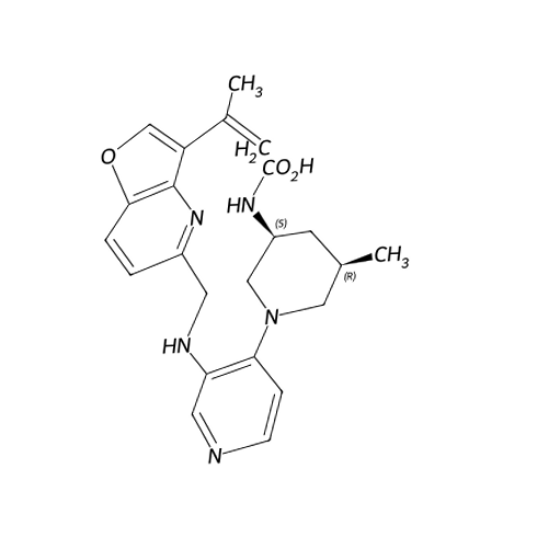 C=C(C)c1coc2ccc(CNc3cnccc3N3C[C@H](C)C[C@H](NC(=O)O)C3)nc12